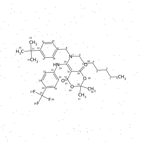 CCCCCCCN(Cc1ccc(C(C)(C)C)cc1)C(Nc1ccc(C(F)(F)F)cc1)=C1C(=O)OC(C)(C)OC1=O